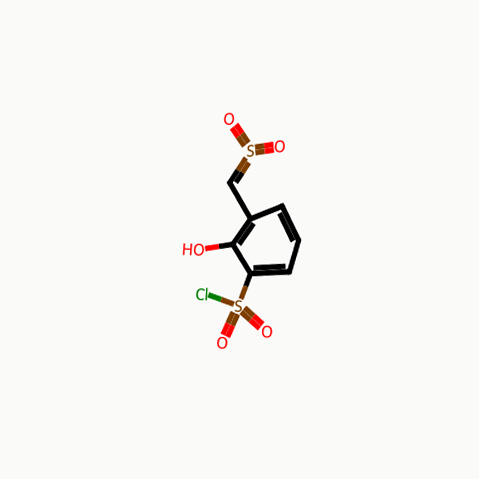 O=S(=O)=Cc1cccc(S(=O)(=O)Cl)c1O